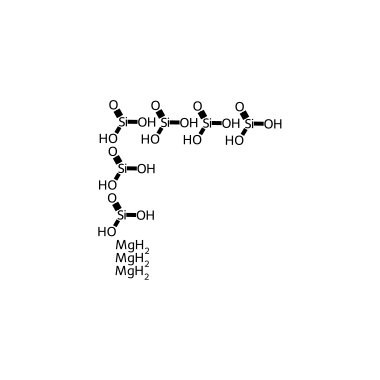 O=[Si](O)O.O=[Si](O)O.O=[Si](O)O.O=[Si](O)O.O=[Si](O)O.O=[Si](O)O.[MgH2].[MgH2].[MgH2]